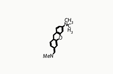 CNC=C1C=CC2Cc3ccc(N(C)C)cc3OC2=C1